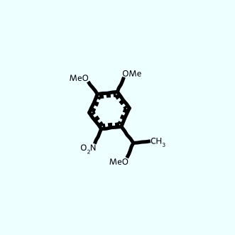 COc1cc(C(C)OC)c([N+](=O)[O-])cc1OC